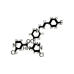 O=C(Nc1cc(Cl)nnc1OC1CCN(CC=Cc2ccc(F)cc2)CC1)c1ccnc(Cl)c1